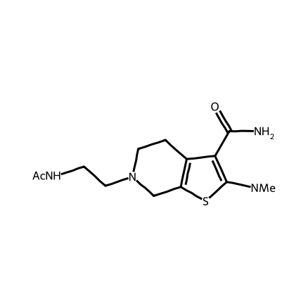 CNc1sc2c(c1C(N)=O)CCN(CCNC(C)=O)C2